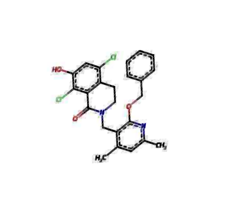 Cc1cc(C)c(CN2CCc3c(Cl)cc(O)c(Cl)c3C2=O)c(OCc2ccccc2)n1